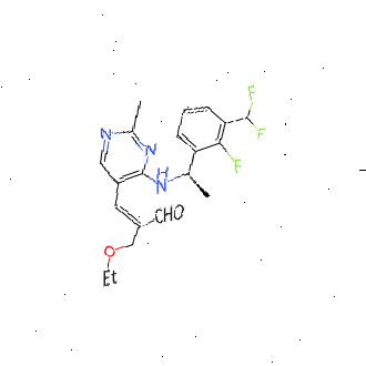 CCOC/C(C=O)=C/c1cnc(C)nc1N[C@H](C)c1cccc(C(F)F)c1F